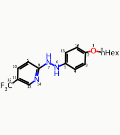 CCCCCCOc1ccc(NNc2ccc(C(F)(F)F)cn2)cc1